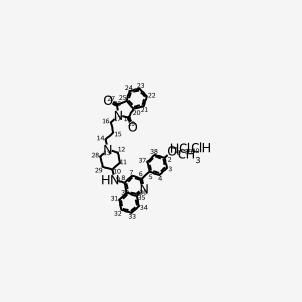 COc1ccc(-c2cc(NC3CCN(CCCN4C(=O)c5ccccc5C4=O)CC3)c3ccccc3n2)cc1.Cl.Cl